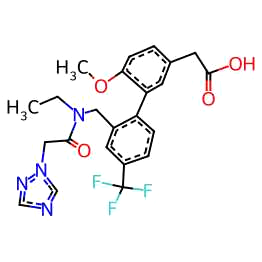 CCN(Cc1cc(C(F)(F)F)ccc1-c1cc(CC(=O)O)ccc1OC)C(=O)Cn1cncn1